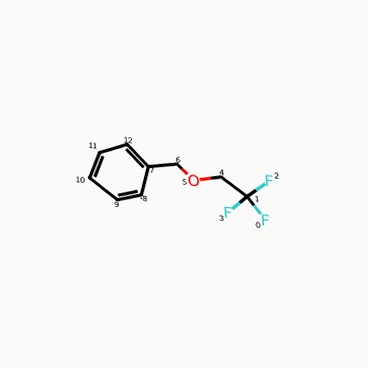 FC(F)(F)COCc1[c]cccc1